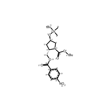 CC(C)(C)OC(=O)N1C[C@H](O[Si](C)(C)C(C)(C)C)C[C@H]1COC(=O)c1ccc([N+](=O)[O-])cc1